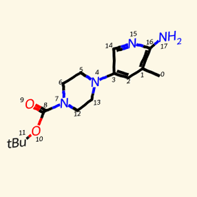 Cc1cc(N2CCN(C(=O)OC(C)(C)C)CC2)cnc1N